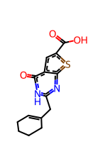 O=C(O)c1cc2c(=O)[nH]c(CC3=CCCCC3)nc2s1